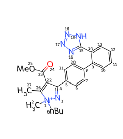 CCCC[N+]1(C)N=C(c2ccc(-c3ccccc3-c3nnn[nH]3)cc2)C(C(=O)OC)=C1C